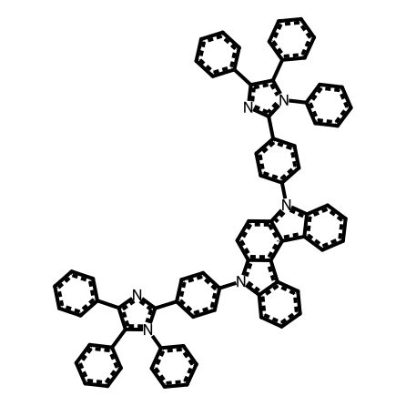 c1ccc(-c2nc(-c3ccc(-n4c5ccccc5c5c6c7ccccc7n(-c7ccc(-c8nc(-c9ccccc9)c(-c9ccccc9)n8-c8ccccc8)cc7)c6ccc54)cc3)n(-c3ccccc3)c2-c2ccccc2)cc1